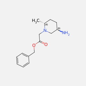 C[C@@H]1CC[C@@H](N)CN1CC(=O)OCc1ccccc1